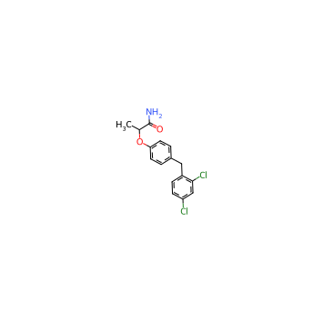 CC(Oc1ccc(Cc2ccc(Cl)cc2Cl)cc1)C(N)=O